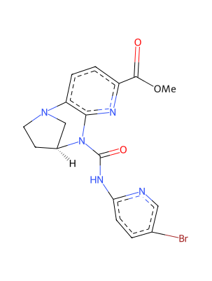 COC(=O)c1ccc2c(n1)N(C(=O)Nc1ccc(Br)cn1)[C@H]1CCN2C1